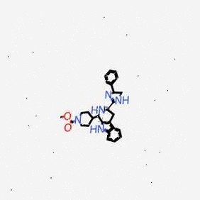 COC(=O)N1CCC(C2N[C@@H](C3=NC(c4ccccc4)CN3)Cc3c2[nH]c2ccccc32)CC1